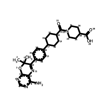 CC1(C)Oc2ncnc(N)c2N=C1c1ccc(C2CCC(C(=O)N3CCC(C(=O)O)CC3)CC2)cc1